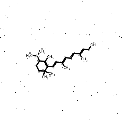 CC1=C(/C=C/C(C)=C/C=C/C(C)=C/CO)C(C)(C)CCC1N(C)C